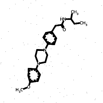 CCC(C)NC(=O)Cc1ccc(N2CCN(c3ccc(OC)cc3)CC2)cc1